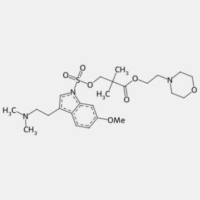 COc1ccc2c(CCN(C)C)cn(S(=O)(=O)OCC(C)(C)C(=O)OCCN3CCOCC3)c2c1